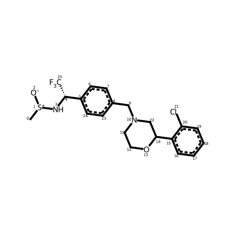 C[S+]([O-])N[C@@H](c1ccc(CN2CCOC(c3ccccc3Cl)C2)cc1)C(F)(F)F